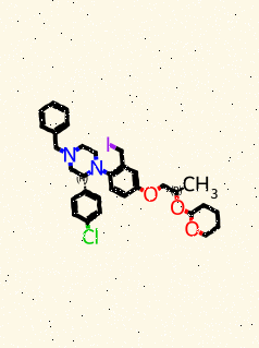 C[C@H](COc1ccc(N2CCN(Cc3ccccc3)C[C@H]2c2ccc(Cl)cc2)c(CI)c1)OC1CCCCO1